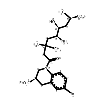 CCOC(=O)[C@@H]1Cc2cc(Br)ccc2N(C(=O)CC(C)(C)C[C@H](N)[C@@H](O)C[C@@H](C)C(=O)O)C1